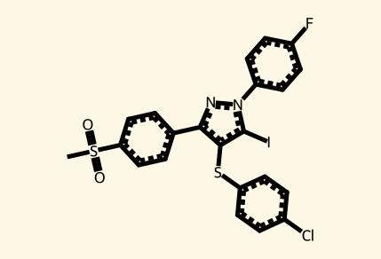 CS(=O)(=O)c1ccc(-c2nn(-c3ccc(F)cc3)c(I)c2Sc2ccc(Cl)cc2)cc1